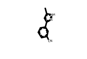 Cc1cc(-c2cccc(C#N)c2)n[nH]1